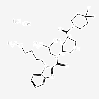 COCCCCn1c(C(=O)N(CC(C)C)[C@@H]2CNC[C@H](C(=O)N3CCC(F)(F)CC3)C2)nc2ccccc21.Cl.Cl